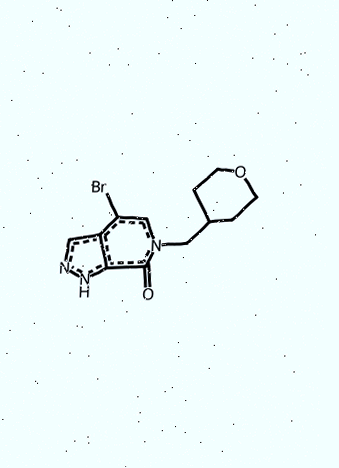 O=c1c2[nH]ncc2c(Br)cn1CC1CCOCC1